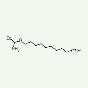 CCCCCCCCCCCCCCCCCCOC(N)CC